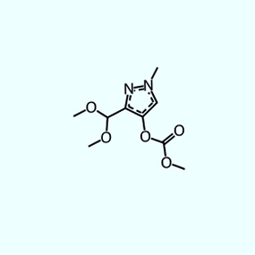 COC(=O)Oc1cn(C)nc1C(OC)OC